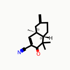 C=C1CC[C@@H]2C(C)(C)C(=O)C(C#N)=C[C@@]2(C)C1